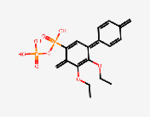 C=c1ccc(=c2cc(P(=O)(O)OP(=O)(O)O)c(=C)c(OCC)c2OCC)cc1